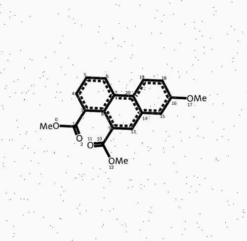 COC(=O)c1cccc2c1c(C(=O)OC)cc1cc(OC)ccc12